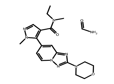 CCN(C)C(=O)c1cnn(C)c1-c1ccn2nc(N3CCOCC3)nc2c1.NC=O